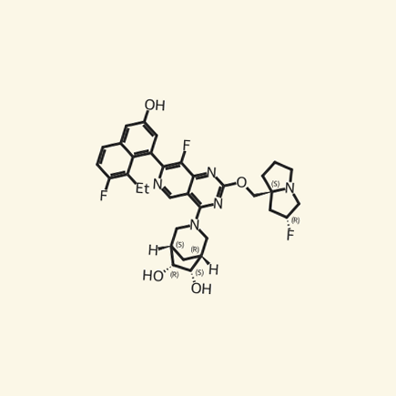 CCc1c(F)ccc2cc(O)cc(-c3ncc4c(N5C[C@@H]6C[C@H](C5)[C@H](O)[C@@H]6O)nc(OC[C@@]56CCCN5C[C@H](F)C6)nc4c3F)c12